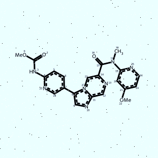 COC(=O)Nc1ccc(-c2cnc3cnc(C(=O)N(C)c4cc(OC)ccn4)cn23)cn1